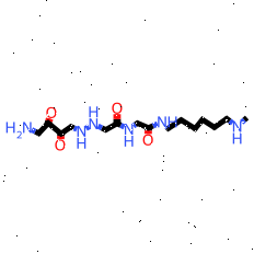 CNCCCCCCNC(=O)CNC(=O)CNNCC(=O)C(=O)CN